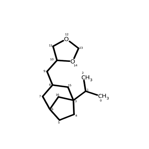 CC(C)C12CCC(CC(CC3COCO3)C1)C2